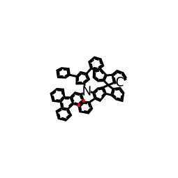 c1ccc(-c2cc(-c3ccccc3)cc(N(c3ccc4c5ccccc5c5ccccc5c4c3)c3cc4c(cc3-c3ccccc3)-c3ccccc3C43c4ccccc4-c4ccccc43)c2)cc1